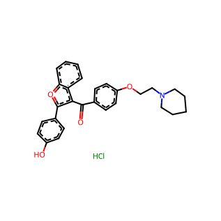 Cl.O=C(c1ccc(OCCN2CCCCC2)cc1)c1c(-c2ccc(O)cc2)oc2ccccc12